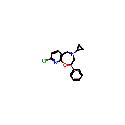 Clc1ccc2c(n1)O[C@H](c1ccccc1)CN(C1CC1)C2